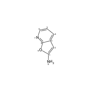 Nc1cc2cccnc2o1